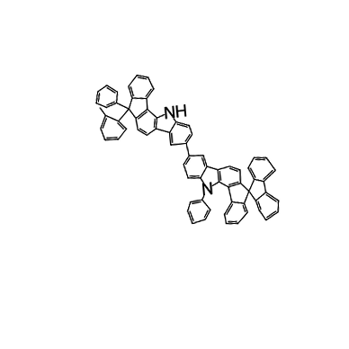 Cc1ccccc1C1(c2ccccc2)c2ccccc2-c2c1ccc1c2[nH]c2ccc(-c3ccc4c(c3)c3ccc5c(c3n4-c3ccccc3)-c3ccccc3C53c4ccccc4-c4ccccc43)cc21